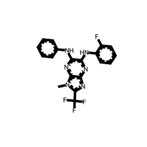 Cn1c(C(F)(F)F)nc2nc(Nc3ccccc3F)c(Nc3ccccc3)nc21